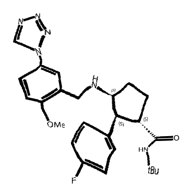 COc1ccc(-n2cnnn2)cc1CN[C@H]1CC[C@H](C(=O)NC(C)(C)C)[C@H]1c1ccc(F)cc1